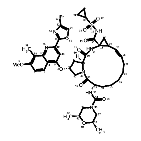 COc1ccc2c(O[C@@H]3C[C@H]4C(=O)N[C@]5(C(=O)NS(=O)(=O)C6CC6)CC5/C=C\CCCCC[C@H](NC(=O)N5C[C@@H](C)O[C@@H](C)C5)C(=O)N4C3)cc(-c3nc(C(C)C)cs3)nc2c1C